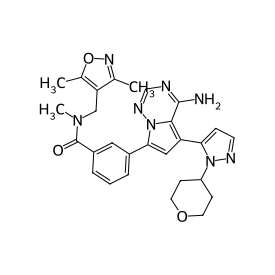 Cc1noc(C)c1CN(C)C(=O)c1cccc(-c2cc(-c3ccnn3C3CCOCC3)c3c(N)ncnn23)c1